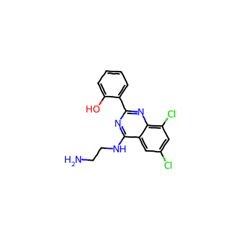 NCCNc1nc(-c2ccccc2O)nc2c(Cl)cc(Cl)cc12